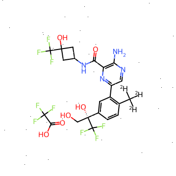 O=C(O)C(F)(F)F.[2H]C([2H])([2H])c1ccc([C@](O)(CO)C(F)(F)F)cc1-c1cnc(N)c(C(=O)NC2CC(O)(C(F)(F)F)C2)n1